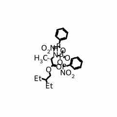 CCC(CC)COC(=O)[C@H](C)NP(=O)(OP(c1ccccc1)[N+](=O)[O-])OP(c1ccccc1)[N+](=O)[O-]